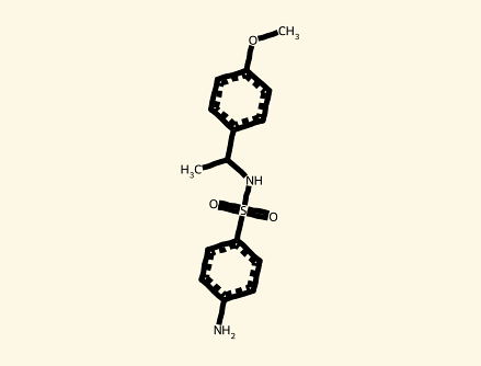 COc1ccc(C(C)NS(=O)(=O)c2ccc(N)cc2)cc1